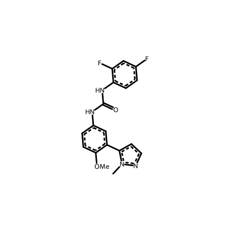 COc1ccc(NC(=O)Nc2ccc(F)cc2F)cc1-c1ccnn1C